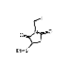 CCSC1CC(=O)N(CI)C1=O